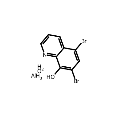 O.Oc1c(Br)cc(Br)c2cccnc12.[AlH3]